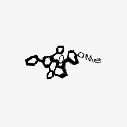 COc1ccc(-c2oc(-c3c(-c4c#cccc4)cc(-c4ccccc4)cc3-c3ccccc3)c3c2C=CCC3)cc1